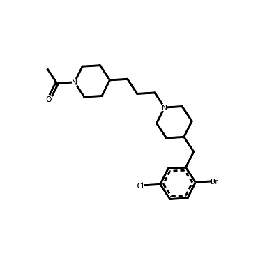 CC(=O)N1CCC(CCCN2CCC(Cc3cc(Cl)ccc3Br)CC2)CC1